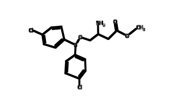 COC(=O)CC(N)COB(c1ccc(Cl)cc1)c1ccc(Cl)cc1